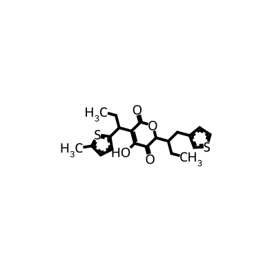 CCC(C1=C(O)C(=O)C(C(CC)Cc2ccsc2)OC1=O)c1ccc(C)s1